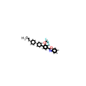 CCC[C@H]1CC[C@H](C2CCC(c3ccc(-c4nc5ccccc5o4)c(F)c3OC(F)F)CC2)CC1